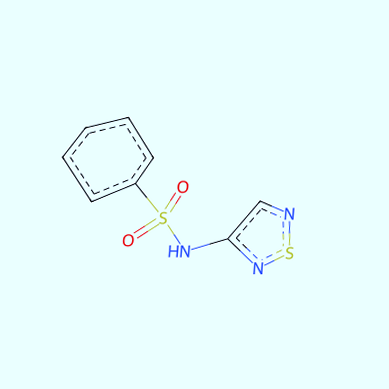 O=S(=O)(Nc1cnsn1)c1ccccc1